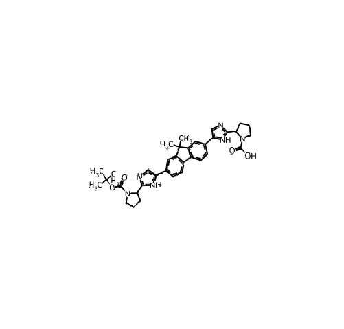 CC(C)(C)OC(=O)N1CCCC1c1ncc(-c2ccc3c(c2)C(C)(C)c2cc(-c4cnc(C5CCCN5C(=O)O)[nH]4)ccc2-3)[nH]1